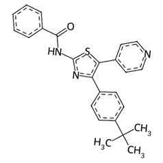 CC(C)(C)c1ccc(-c2nc(NC(=O)c3ccccc3)sc2-c2ccncc2)cc1